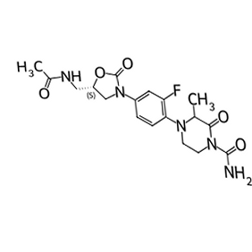 CC(=O)NC[C@H]1CN(c2ccc(N3CCN(C(N)=O)C(=O)C3C)c(F)c2)C(=O)O1